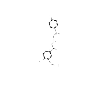 COc1ccc(C(C)CNC[C@H](O)c2ccc(Cl)cc2)cc1OC